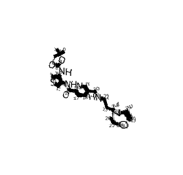 CC(C)(C)OC(=O)Nc1cscc1NC(=O)c1ccc(CNCCCN2CCOCC2)cn1